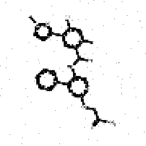 Cn1ccc(-c2cc(C(O)Nc3cnc(NCC(N)=O)nc3-c3ccccc3)c(F)cc2C(F)(F)F)n1